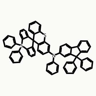 c1ccc(N(c2ccc3c(c2)Sc2ccccc2C32c3ccccc3S(c3ccccc3)(c3ccccc3)c3ccccc32)c2ccc3c(c2)C(c2ccccc2)(c2ccccc2)c2ccccc2-3)cc1